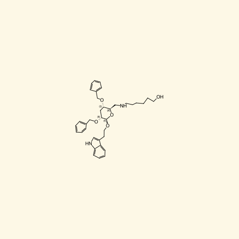 OCCCCCCNC[C@H]1O[C@@H](OCCc2c[nH]c3ccccc23)[C@H](OCc2ccccc2)C[C@@H]1OCc1ccccc1